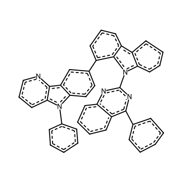 c1ccc(-c2nc(-n3c4ccccc4c4cccc(-c5ccc6c(c5)c5ncccc5n6-c5ccccc5)c43)nc3ccccc23)cc1